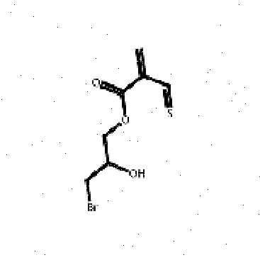 C=C(C=S)C(=O)OCC(O)CBr